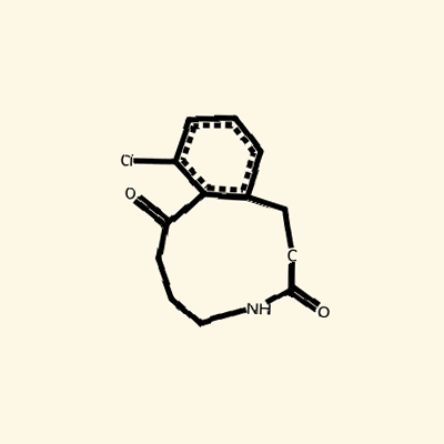 O=C1CCc2cccc(Cl)c2C(=O)CCCN1